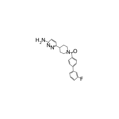 Nc1ccc(C2CCN(C(=O)c3ccc(-c4cccc(F)c4)cc3)CC2)nn1